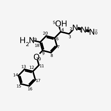 [N-]=[N+]=NC[C@H](O)c1ccc(OCc2ccccc2)c(N)c1